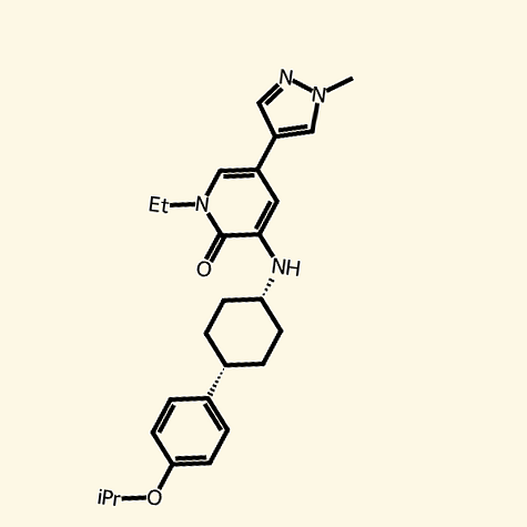 CCn1cc(-c2cnn(C)c2)cc(N[C@H]2CC[C@@H](c3ccc(OC(C)C)cc3)CC2)c1=O